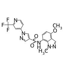 COc1ccc(NS(=O)(=O)c2cnn(-c3ccnc(C(F)(F)F)c3)c2)c2c1cnn2C